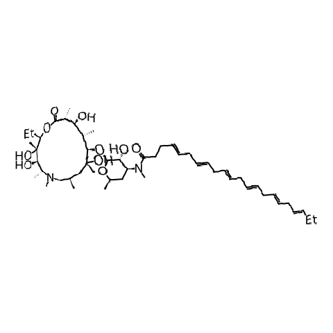 CC/C=C/C/C=C/C/C=C/C/C=C/C/C=C/C/C=C/CCC(=O)N(C)[C@H]1C[C@@H](C)O[C@@H](O[C@@H]2[C@@H](C)[C@H](O)[C@@H](C)C(=O)O[C@H](CC)[C@@](C)(O)[C@H](O)[C@@H](C)N(C)C[C@H](C)C[C@@]2(C)O)[C@@H]1O